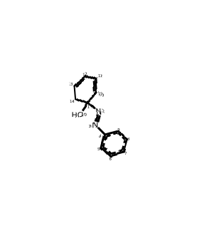 OC1(N=Nc2ccccc2)C=CC=CC1